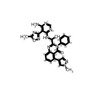 Cc1nc(-c2c(N)ncnc2NC(C)c2nc3cccc(-c4cnn(C)c4)c3c(=O)n2-c2ccccc2)no1